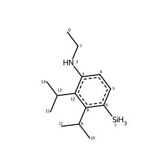 CCNc1ccc([SiH3])c(C(C)C)c1C(C)C